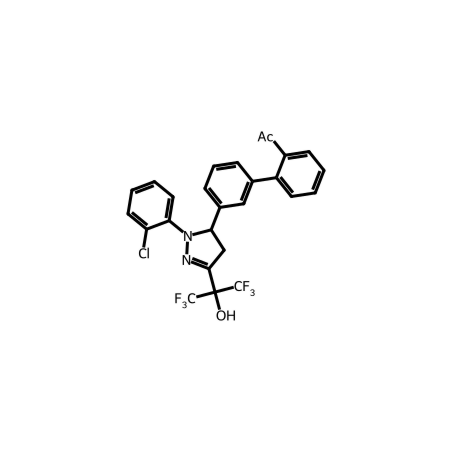 CC(=O)c1ccccc1-c1cccc(C2CC(C(O)(C(F)(F)F)C(F)(F)F)=NN2c2ccccc2Cl)c1